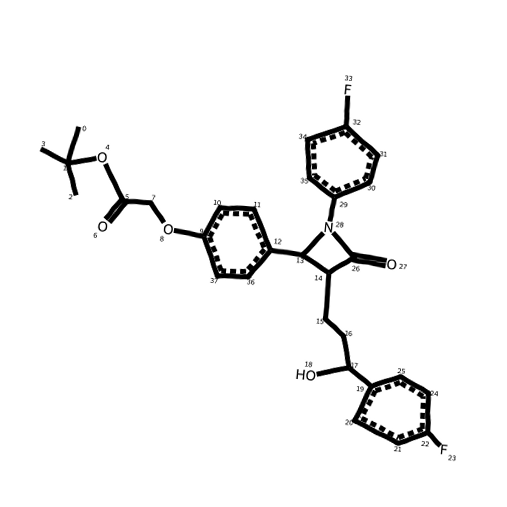 CC(C)(C)OC(=O)COc1ccc(C2C(CCC(O)c3ccc(F)cc3)C(=O)N2c2ccc(F)cc2)cc1